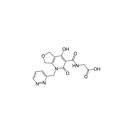 O=C(O)CNC(=O)c1c(O)c2c(n(Cc3cccnn3)c1=O)COC2